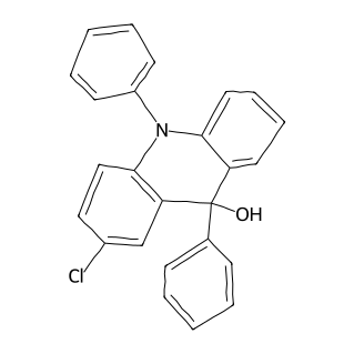 OC1(c2ccccc2)c2ccccc2N(c2ccccc2)c2ccc(Cl)cc21